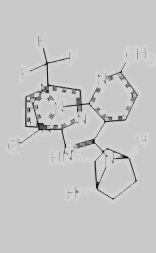 Cc1ccc(C(=O)N2[C@@H]3CC[C@H]2[C@H](Nc2ncc(C(F)(F)F)cc2Cl)C3)c(-n2nccn2)n1